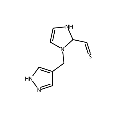 S=CC1NC=CN1Cc1cn[nH]c1